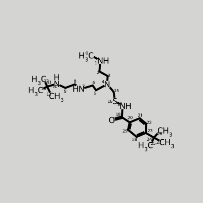 CNCCN(CCNCCNC(C)(C)C)CSNC(=O)c1ccc(C(C)(C)C)cc1